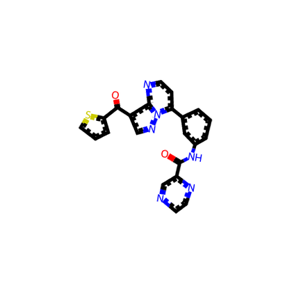 O=C(Nc1cccc(-c2ccnc3c(C(=O)c4cccs4)cnn23)c1)c1cnccn1